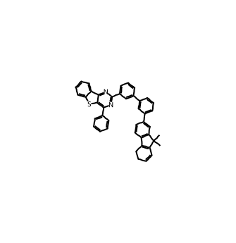 CC1(C)C2=C(CCC=C2)c2ccc(-c3cccc(-c4cccc(-c5nc(-c6ccccc6)c6sc7ccccc7c6n5)c4)c3)cc21